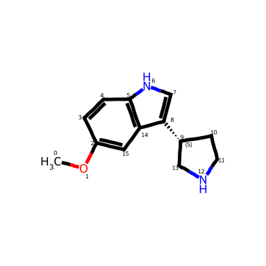 COc1ccc2[nH]cc([C@@H]3CCNC3)c2c1